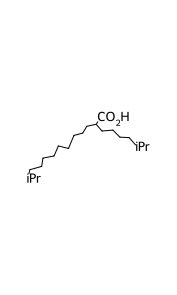 CC(C)CCCCCCCCCC(CCCCC(C)C)C(=O)O